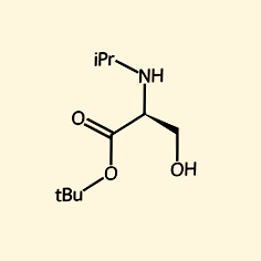 CC(C)N[C@@H](CO)C(=O)OC(C)(C)C